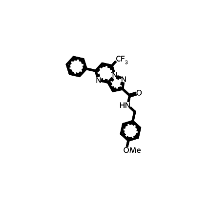 COc1ccc(CNC(=O)c2cc3nc(-c4ccccc4)cc(C(F)(F)F)n3n2)cc1